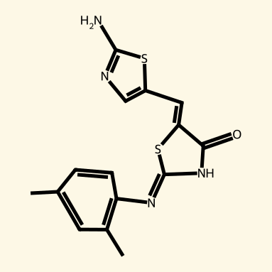 Cc1ccc(/N=C2/NC(=O)/C(=C/c3cnc(N)s3)S2)c(C)c1